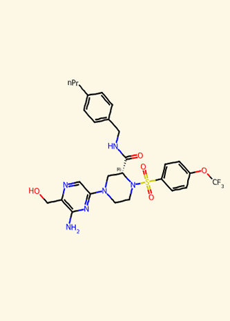 CCCc1ccc(CNC(=O)[C@H]2CN(c3cnc(CO)c(N)n3)CCN2S(=O)(=O)c2ccc(OC(F)(F)F)cc2)cc1